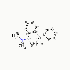 CC(c1ccccc1)c1ccccc1C(C)N(C)C